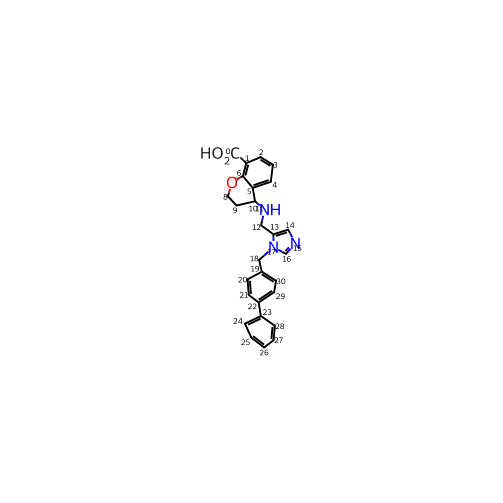 O=C(O)c1cccc2c1OCCC2NCc1cncn1Cc1ccc(-c2ccccc2)cc1